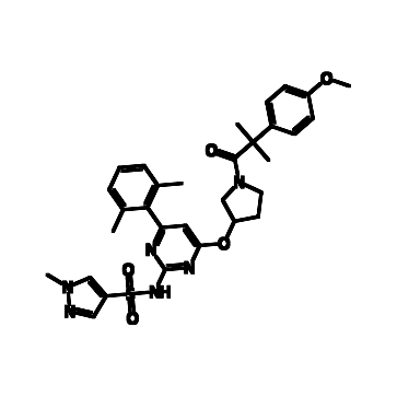 COc1ccc(C(C)(C)C(=O)N2CCC(Oc3cc(-c4c(C)cccc4C)nc(NS(=O)(=O)c4cnn(C)c4)n3)C2)cc1